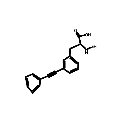 O=C(O)C(Cc1cccc(C#Cc2ccccc2)c1)NS